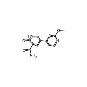 COc1nccc(-c2c[nH]c(=O)c(C(N)=O)c2)n1